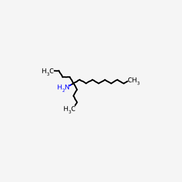 CCCCCCCCCC(N)(CCCC)CCCC